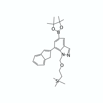 CC1(C)OB(c2cc(C3=Cc4ccccc4C3)c3c(cnn3COCC[Si](C)(C)C)c2)OC1(C)C